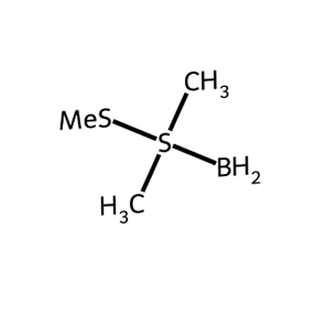 BS(C)(C)SC